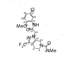 CNC(=O)N1CCc2c(C(F)(F)F)nn(CC(=O)Nc3cc(Cl)ccc3OC)c2C1